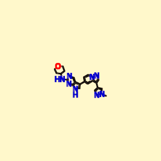 Cn1cc(-c2cnn3ccc(-c4c[nH]c5nc(NC6CCOCC6)ncc45)cc23)cn1